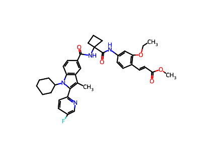 CCOc1cc(NC(=O)C2(NC(=O)c3ccc4c(c3)c(C)c(-c3ccc(F)cn3)n4C3CCCCC3)CCC2)ccc1/C=C/C(=O)OC